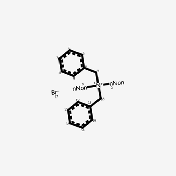 CCCCCCCCC[N+](CCCCCCCCC)(Cc1ccccc1)Cc1ccccc1.[Br-]